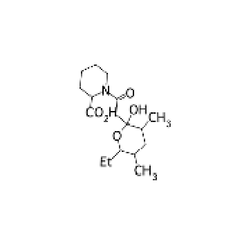 CCC1OC(O)(CC(=O)N2CCCCC2C(=O)O)C(C)CC1C